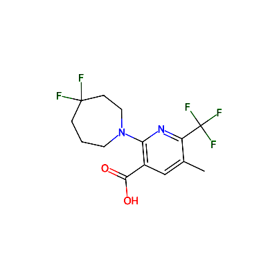 Cc1cc(C(=O)O)c(N2CCCC(F)(F)CC2)nc1C(F)(F)F